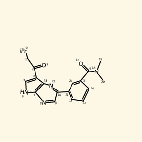 CC(C)CC(=O)c1c[nH]c2ncc(-c3cccc(C(=O)N(C)C)c3)nc12